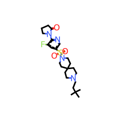 CC(C)(C)CCN1CCC2(CC1)CCN(S(=O)(=O)c1cnc(N3CCCC3=O)c(F)c1)CC2